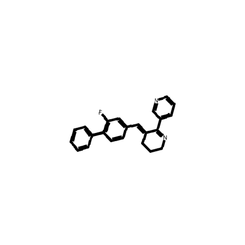 Fc1cc(C=C2CCCN=C2c2cccnc2)ccc1-c1ccccc1